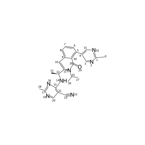 Cc1ncc(-c2cccc3cc([C@H](C)Nc4nc(C)ncc4C#N)n(C(C)C)c(=O)c23)cn1